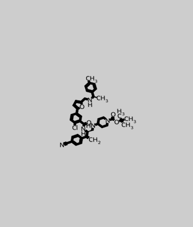 C=C(c1ccc(C#N)cc1)[C@H](CNC1CCN(C(=O)OC(C)(C)C)CC1)NC(=O)c1cc(-c2ccc(CN[C@H](C)c3ccc(C)cc3)o2)ccc1Cl